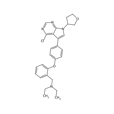 CCN(CC)Cc1ccccc1Oc1ccc(-c2cn(C3CCOC3)c3ncnc(Cl)c23)cc1